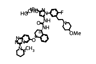 COC1CCN(CCc2cc(-n3nc(C(C)(C)C)cc3NC(=O)N[C@H]3CC[C@@H](Oc4ccc5nnc(N6CCCC[C@@H]6C)n5c4)c4ccccc43)ccc2F)CC1.O=CO